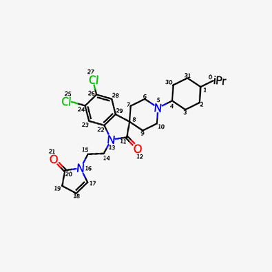 CC(C)C1CCC(N2CCC3(CC2)C(=O)N(CCN2C=CCC2=O)c2cc(Cl)c(Cl)cc23)CC1